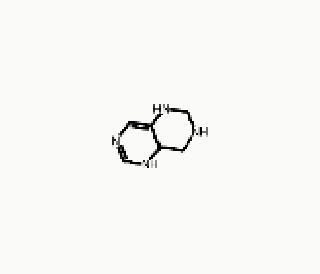 C1=NC=C2NCNCC2N1